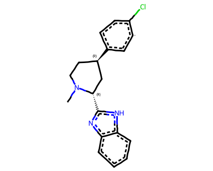 CN1CC[C@@H](c2c[c]c(Cl)cc2)C[C@@H]1c1nc2ccccc2[nH]1